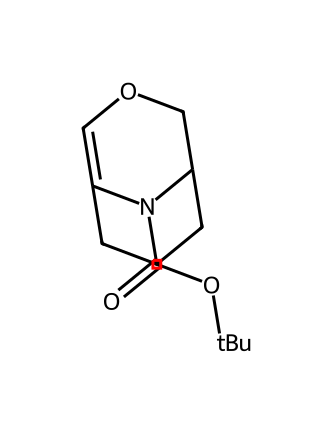 CC(C)(C)OC(=O)N1C2=COCC1CCC2